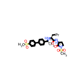 CC(C)C[C@H](N[C@@H](c1ccc(-c2ccc(S(C)(=O)=O)cc2)cc1)C(F)(F)F)C(=O)N[C@H]1CCN(S(C)(=O)=O)C1=O